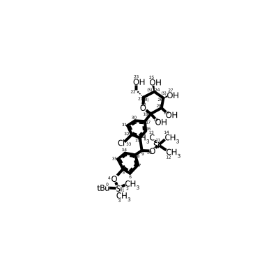 CC(C)(C)[Si](C)(C)Oc1ccc(C(O[Si](C)(C)C)c2cc(C3(O)O[C@H](CO)[C@@H](O)[C@H](O)C3O)ccc2Cl)cc1